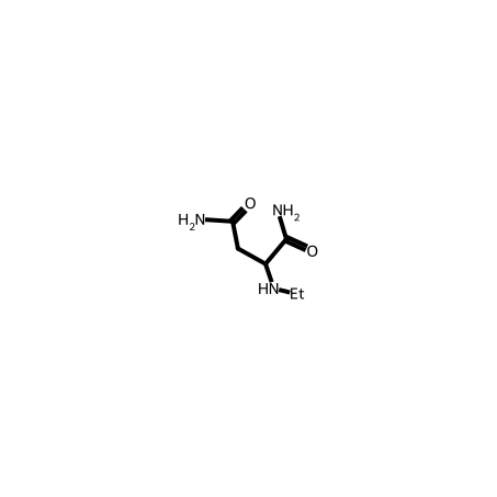 CCNC(CC(N)=O)C(N)=O